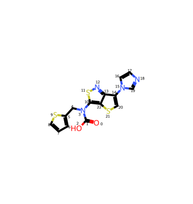 O=C(O)N(Cc1cccs1)c1snc2c(-n3ccnc3)csc12